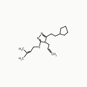 C=CCn1c(CCC2CCCC2)nnc1SCC=C(C)C